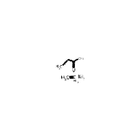 C=C.CCC(=O)O.N